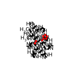 C[C@H](NC(=O)[C@H](C)NC(=O)[C@H](CO)NC(=O)[C@@H]1CCCN1)C(=O)N[C@@H](CO)C(=O)N[C@@H](Cc1c[nH]cn1)C(=O)N[C@@H](Cc1c[nH]cn1)C(=O)N[C@@H](Cc1c[nH]cn1)C(=O)N[C@@H](Cc1c[nH]cn1)C(=O)N[C@@H](Cc1c[nH]cn1)C(=O)N[C@@H](Cc1c[nH]cn1)C(=O)O